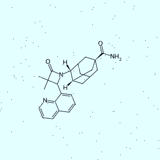 CC1(C)C(=O)N([C@@H]2C3CC4C[C@H]2C[C@@](C(N)=O)(C4)C3)C1c1cccc2cccnc12